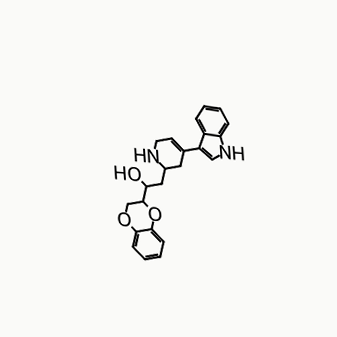 OC(CC1CC(c2c[nH]c3ccccc23)=CCN1)C1COc2ccccc2O1